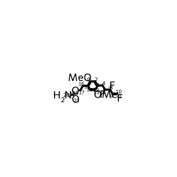 COc1cc(CC(F)C(F)CCF)c(OC)cc1CCOC(N)=O